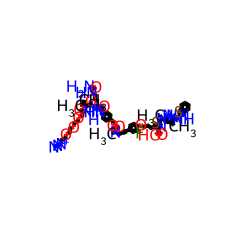 Cc1cc(N(C)c2nc(C(=O)O)c(CCCOc3ccc(C#CCN(C)C(=O)OCc4ccc(NC(=O)[C@H](CCCNC(N)=O)NC(=O)[C@@H](NC(=O)COCCOCCOCCN=[N+]=[N-])C(C)C)cc4)cc3F)s2)nnc1Nc1nc2ccccc2s1